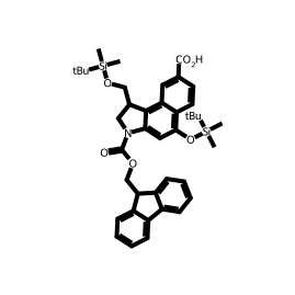 CC(C)(C)[Si](C)(C)OCC1CN(C(=O)OCC2c3ccccc3-c3ccccc32)c2cc(O[Si](C)(C)C(C)(C)C)c3ccc(C(=O)O)cc3c21